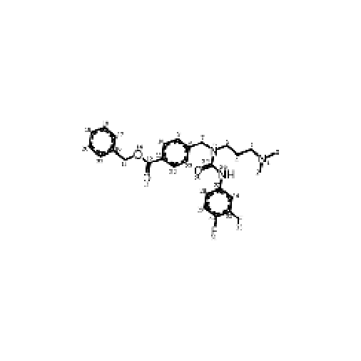 CN(C)CCCN(Cc1ccc(C(=O)OCc2ccccc2)cc1)C(=O)Nc1ccc(F)c(F)c1